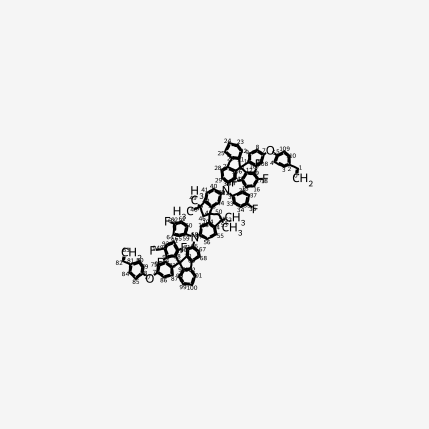 C=Cc1ccc(Oc2ccc(C3(c4c(F)ccc(F)c4F)c4ccccc4-c4ccc(N(c5ccc(F)cc5)c5ccc6c(c5)C5(CC6(C)C)CC(C)(C)c6ccc(N(c7ccc(F)cc7)c7ccc8c(c7)C(c7ccc(Oc9ccc(C=C)cc9)cc7)(c7c(F)ccc(F)c7F)c7ccccc7-8)cc65)cc43)cc2)cc1